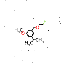 COc1cc(COCCF)cc(C(C)C)c1